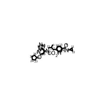 CC(Cc1ccc(C(=O)NC2CC2)cc1)CN(C(=O)O)c1cc(OC2CCCC2)nn2cnnc12